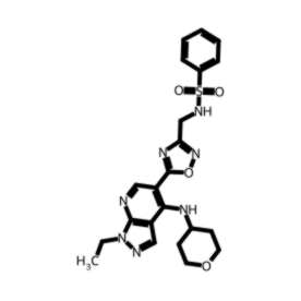 CCn1ncc2c(NC3CCOCC3)c(-c3nc(CNS(=O)(=O)c4ccccc4)no3)cnc21